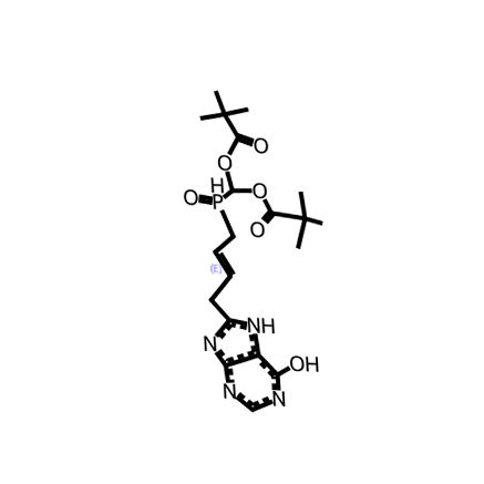 CC(C)(C)C(=O)OC(OC(=O)C(C)(C)C)[PH](=O)C/C=C/Cc1nc2ncnc(O)c2[nH]1